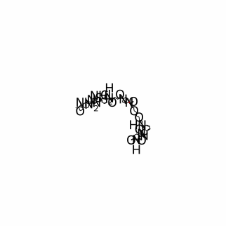 C[C@@H]1OCC2(CCN(c3cnc(Sc4cccc(NC(=O)CCC(=O)N5CCN(C(=O)CCOCCOCCNc6cccc7cnn(C8CCC(=O)NC8=O)c(=O)c67)CC5)c4Cl)c(N)n3)CC2)[C@@H]1N